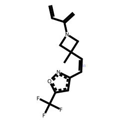 C=CC(=C)N1CC(C)(/C=C\c2cc(C(F)(F)F)on2)C1